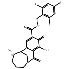 C[C@H]1CCCN2CC1n1cc(C(=O)NCc3c(F)cc(I)cc3F)c(=O)c(O)c1C2=O